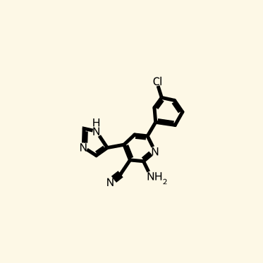 N#Cc1c(-c2cnc[nH]2)cc(-c2cccc(Cl)c2)nc1N